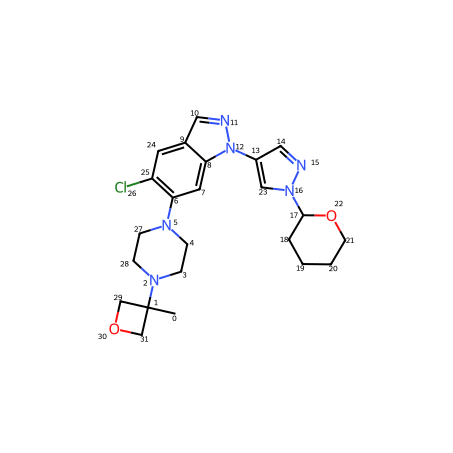 CC1(N2CCN(c3cc4c(cnn4-c4cnn(C5CCCCO5)c4)cc3Cl)CC2)COC1